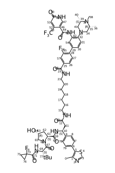 Cc1ncsc1-c1ccc([C@H](CC(=O)NCCCCCCCNC(=O)c2ccc(-c3ccc(N4C[C@@H](C)N(C)[C@@H](C)C4)c(NC(=O)c4c[nH]c(=O)cc4C(F)(F)F)c3)c(F)c2)NC(=O)[C@@H]2C[C@@H](O)CN2C(=O)[C@@H](NC(=O)C2(F)CC2)C(C)(C)C)cc1